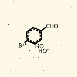 [B+2]c1ccc(C=O)cc1.[OH-].[OH-]